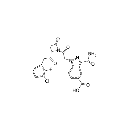 NC(=O)c1nn(CC(=O)N2C(=O)C[C@H]2C(=O)Cc2cccc(Cl)c2F)c2ccc(C(=O)O)cc12